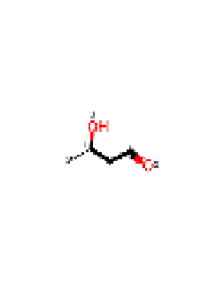 C[C@H](O)C[C]=O